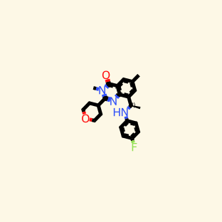 Cc1cc([C@@H](C)Nc2ccc(F)cc2)c2nc(C3CCOCC3)n(C)c(=O)c2c1